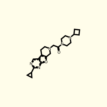 O=C(CN1CCc2c(oc3nc(C4CC4)ncc23)C1)N1CCN(C2CCC2)CC1